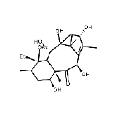 CC[C@@]1(OC(C)=O)C2[C@H](O)[C@]3(O)C[C@H](O)C(C)=C([C@@H](O)C(=O)[C@]2(C)[C@@H](O)C[C@H]1C)C3(C)C